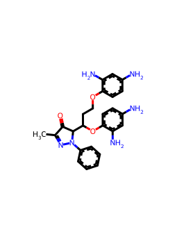 CC1=NN(c2ccccc2)C(C(CCOc2ccc(N)cc2N)Oc2ccc(N)cc2N)C1=O